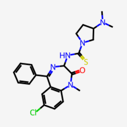 CN1C(=O)C(NC(=S)N2CCC(N(C)C)C2)N=C(c2ccccc2)c2cc(Cl)ccc21